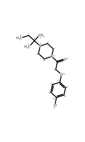 CCC(C)(C)N1CCN(C(=O)COc2ccc(Cl)cc2)CC1